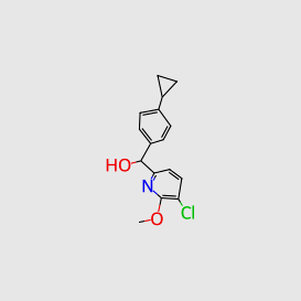 COc1nc(C(O)c2ccc(C3CC3)cc2)ccc1Cl